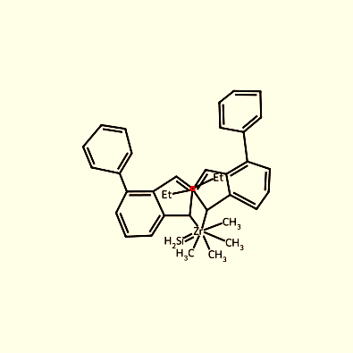 CCC1=Cc2c(-c3ccccc3)cccc2[CH]1[Zr]([CH3])([CH3])([CH3])([CH3])(=[SiH2])[CH]1C(CC)=Cc2c(-c3ccccc3)cccc21